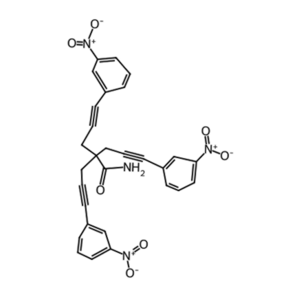 NC(=O)C(CC#Cc1cccc([N+](=O)[O-])c1)(CC#Cc1cccc([N+](=O)[O-])c1)CC#Cc1cccc([N+](=O)[O-])c1